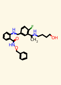 C=C(NCCCCO)c1cc(CNc2ccccc2C(=O)NOCc2ccccc2)ccc1F